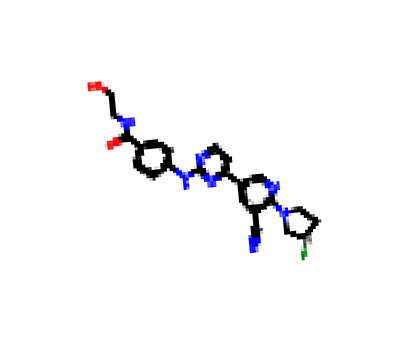 N#Cc1cc(-c2ccnc(Nc3ccc(C(=O)NCCO)cc3)n2)cnc1N1CC[C@H](F)C1